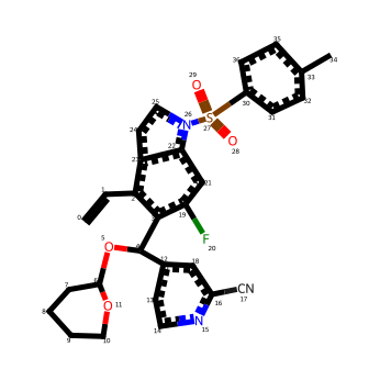 C=Cc1c(C(OC2CCCCO2)c2ccnc(C#N)c2)c(F)cc2c1ccn2S(=O)(=O)c1ccc(C)cc1